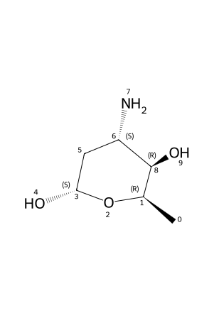 C[C@H]1O[C@H](O)C[C@H](N)[C@H]1O